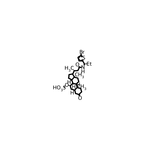 CC[C@@H](NC(=O)C[C@@H](C)C1CC[C@H]2[C@@H]3[C@H](OS(=O)(=O)O)C[C@@H]4CC(=O)CC[C@]4(C)[C@H]3CC[C@]12C)c1ccc(Br)s1